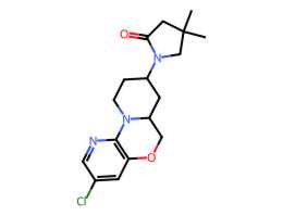 CC1(C)CC(=O)N(C2CCN3c4ncc(Cl)cc4OCC3C2)C1